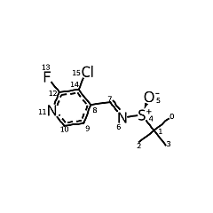 CC(C)(C)[S@+]([O-])N=Cc1ccnc(F)c1Cl